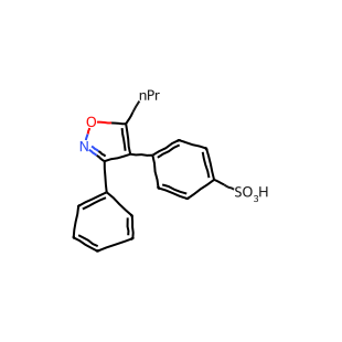 CCCc1onc(-c2ccccc2)c1-c1ccc(S(=O)(=O)O)cc1